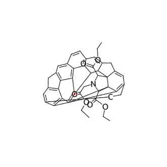 CCOC(=O)CN1C(C(=O)OCC)C23C4=C5C=C6CC7=Cc8ccc9cc%10c%11c%12c(cc(c4c%12c2c2c%11c9c8C2C7C63C1C(=O)OCC)CC5)C%10